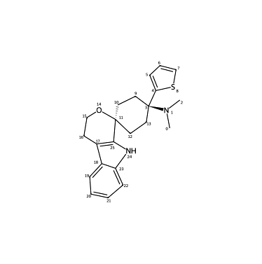 CN(C)[C@]1(c2cccs2)CC[C@@]2(CC1)OCCc1c3ccccc3[nH]c12